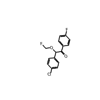 O=C(c1ccc(F)cc1)C(OCF)c1ccc(Cl)cc1